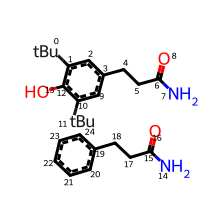 CC(C)(C)c1cc(CCC(N)=O)cc(C(C)(C)C)c1O.NC(=O)CCc1ccccc1